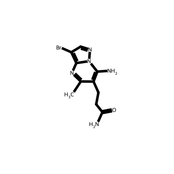 Cc1nc2c(Br)cnn2c(N)c1CCC(N)=O